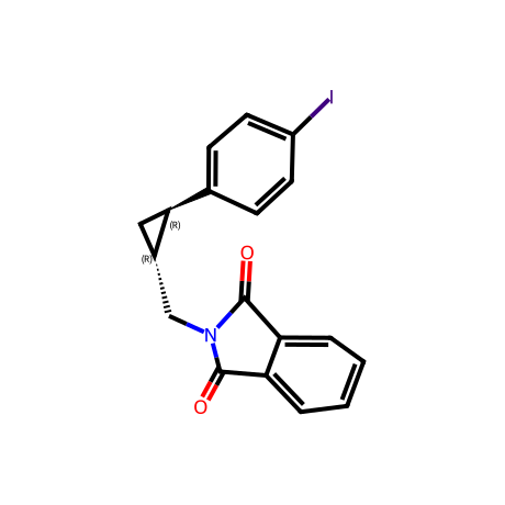 O=C1c2ccccc2C(=O)N1C[C@@H]1C[C@H]1c1ccc(I)cc1